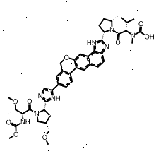 COC[C@H]1C[C@@H](c2ncc(-c3ccc4c(c3)COc3cc5c(ccc6nc([C@@H]7CC[C@H](C)N7C(=O)[C@H](C(C)C)N(C)C(=O)O)[nH]c65)cc3-4)[nH]2)N(C(=O)[C@@H](NC(=O)OC)[C@H](C)OC)C1